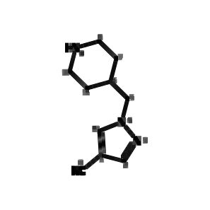 N#Cc1cnn(CC2CCNCC2)c1